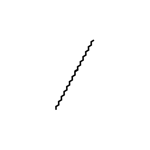 CCCCCCCCCCCC/C=C/CCCCCCCCCCCCCCC